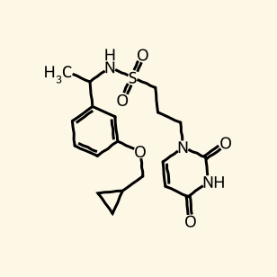 CC(NS(=O)(=O)CCCn1ccc(=O)[nH]c1=O)c1cccc(OCC2CC2)c1